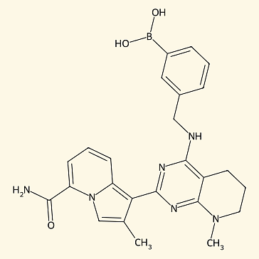 Cc1cn2c(C(N)=O)cccc2c1-c1nc(NCc2cccc(B(O)O)c2)c2c(n1)N(C)CCC2